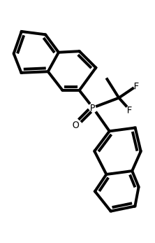 CC(F)(F)P(=O)(c1ccc2ccccc2c1)c1ccc2ccccc2c1